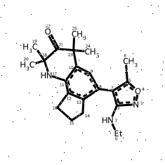 CCNc1noc(C)c1-c1cc2c(c3c1CCC3)NC(C)(C)C(=O)C2(C)C